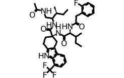 CCC(C)[C@H](NC(=O)Cc1ccccc1F)C(=O)N[C@]1(C(=O)NC(CNC(C)=O)[C@@H](C)CC)CCc2[nH]c3c(C(F)(F)F)cccc3c2C1